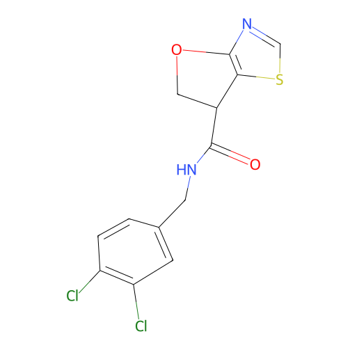 O=C(NCc1ccc(Cl)c(Cl)c1)C1COc2ncsc21